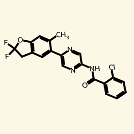 Cc1cc2c(cc1-c1cnc(NC(=O)c3ccccc3Cl)cn1)CC(F)(F)O2